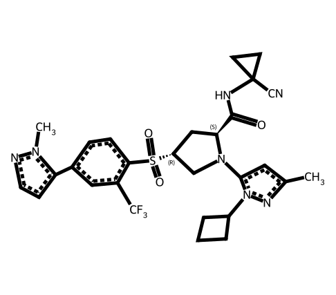 Cc1cc(N2C[C@H](S(=O)(=O)c3ccc(-c4ccnn4C)cc3C(F)(F)F)C[C@H]2C(=O)NC2(C#N)CC2)n(C2CCC2)n1